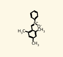 Cc1cc(C)c(C=[N+]([O-])c2ccccc2)c(C)c1